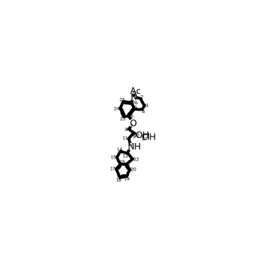 CC(=O)N1CCCc2c(OCC(O)CNC3CCc4ccccc4C3)cccc21.Cl